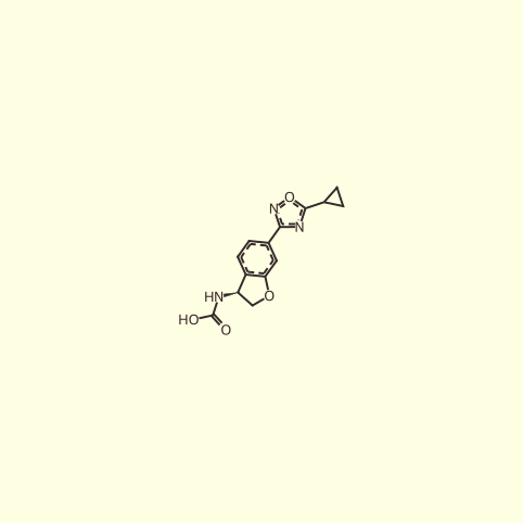 O=C(O)N[C@@H]1COc2cc(-c3noc(C4CC4)n3)ccc21